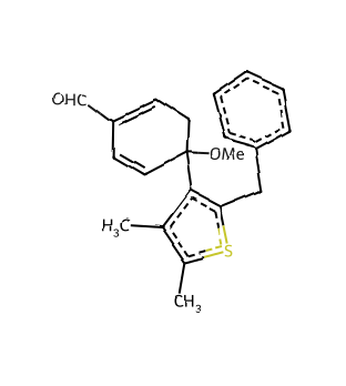 COC1(c2c(Cc3ccccc3)sc(C)c2C)C=CC(C=O)=CC1